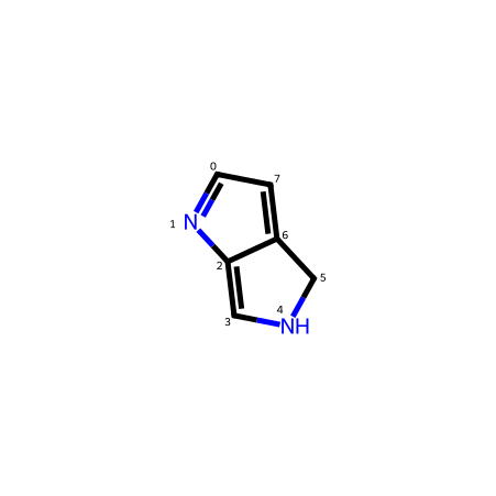 C1=NC2=CNCC2=C1